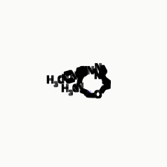 CN1CCN(c2ccc3cc2CN(C)C/C=C/COCc2ccc(s2)-c2ccnc(n2)N3)CC1